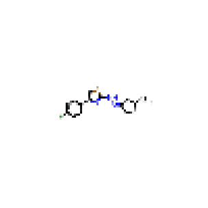 CC1CC/C(=N/Nc2nc(-c3ccc(Cl)cc3)cs2)C1